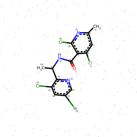 Cc1cc(Cl)c(C(=O)NC(C)c2ncc(Br)cc2Cl)c(Cl)n1